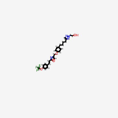 OCCn1ncc(CCCCc2ccc(OCc3coc(/C=C/c4ccc(OC(F)(F)F)cc4)n3)cc2)n1